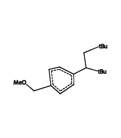 COCc1ccc(C(CC(C)(C)C)C(C)(C)C)cc1